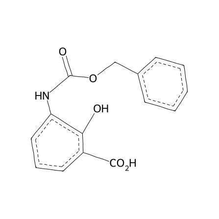 O=C(Nc1cccc(C(=O)O)c1O)OCc1ccccc1